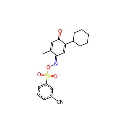 CC1=CC(=O)C(C2CCCCC2)=C/C1=N/OS(=O)(=O)c1cccc(C#N)c1